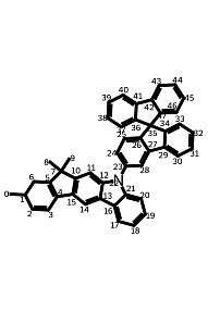 CC1C=CC2=C(C1)C(C)(C)c1cc3c(cc12)c1ccccc1n3-c1ccc2c(c1)-c1ccccc1C21c2ccccc2-c2ccccc21